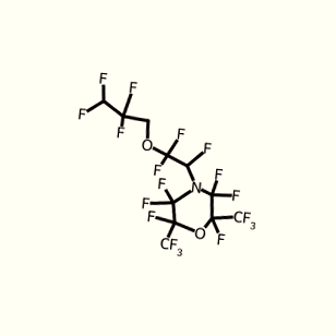 FC(F)C(F)(F)COC(F)(F)C(F)N1C(F)(F)C(F)(C(F)(F)F)OC(F)(C(F)(F)F)C1(F)F